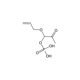 C=CCOC(OP(=O)(O)O)C(C)=O